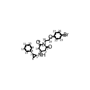 O=C1CC(N[C@@H]2C[C@H]2c2ccccc2)CC(=O)N1CCOc1ccc(Br)cc1